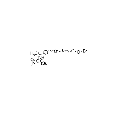 C[C@@H](OCc1ccc(CCCOCCOCCOCCOCCOCCBr)cc1)[C@H](CCC(N)=O)NC(=O)OC(C)(C)C